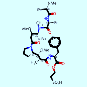 CC[C@H](C)[C@@H]([C@@H](CC(=O)N1CCC[C@H]1[C@H](OC)[C@@H](C)C(=O)N[C@@H](Cc1ccccc1)C(=O)OCCS(=O)(=O)O)OC)N(C)C(=O)[C@@H](NC(=O)[C@@H](NC)C(C)C)C(C)C